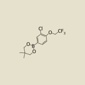 CC1(C)COB(c2ccc(OCC(F)(F)F)c(Cl)c2)OC1